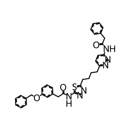 O=C(Cc1ccccc1)Nc1ccc(CCCCc2nnc(NC(=O)Cc3cccc(OCc4ccccc4)c3)s2)nn1